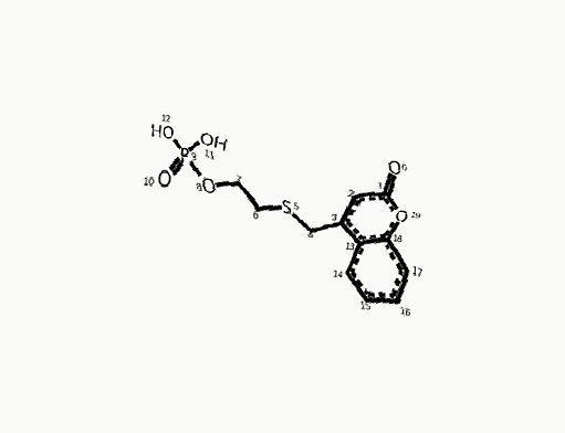 O=c1cc(CSCCOP(=O)(O)O)c2ccccc2o1